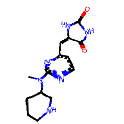 CN(c1nccc(C=C2NC(=O)NC2=O)n1)C1CCCNC1